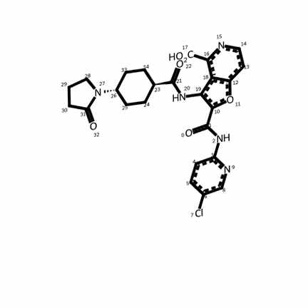 O=C(Nc1ccc(Cl)cn1)c1oc2ccnc(C(=O)O)c2c1NC(=O)[C@H]1CC[C@H](N2CCCC2=O)CC1